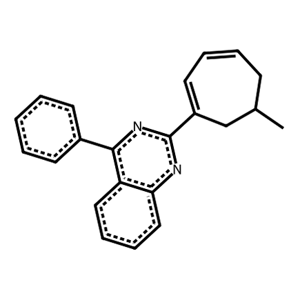 CC1CC=CC=C(c2nc(-c3ccccc3)c3ccccc3n2)C1